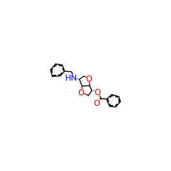 O=C(O[C@@H]1COC2C1OC[C@H]2NCc1ccccc1)c1ccccc1